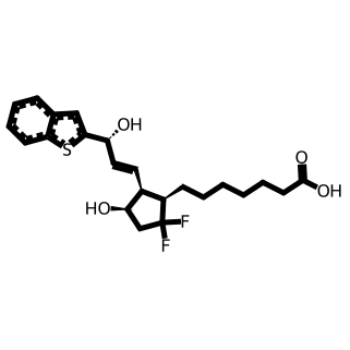 O=C(O)CCCCCC[C@@H]1[C@H](C=C[C@@H](O)c2cc3ccccc3s2)[C@H](O)CC1(F)F